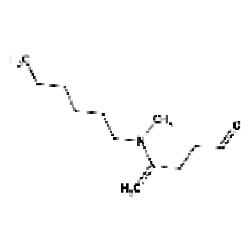 C=C(CCC=O)N(C)CCCCCC